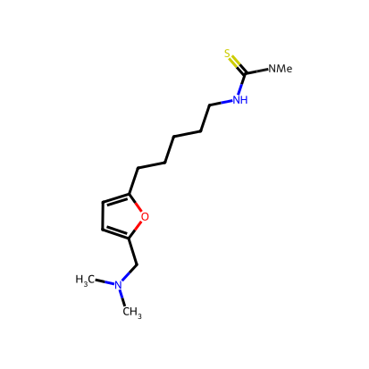 CNC(=S)NCCCCCc1ccc(CN(C)C)o1